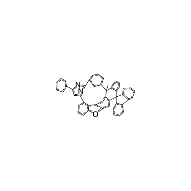 CC12c3cccc(c3)-c3nc(-c4ccccc4)cc(n3)-c3cccc4oc5cc(c1cc5c34)C1(c3ccccc3-c3ccccc31)c1ccccc12